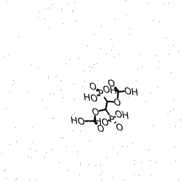 O=C(O)OC(C(OC(=O)O)P(=O)(O)O)P(=O)(O)O